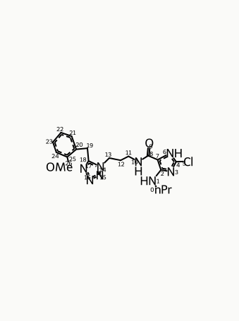 CCCNc1nc(Cl)[nH]c1C(=O)NCCCn1nnnc1Cc1ccccc1OC